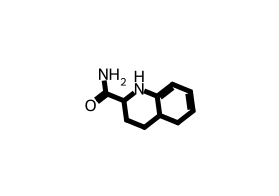 NC(=O)C1CCC2CC=CC=C2N1